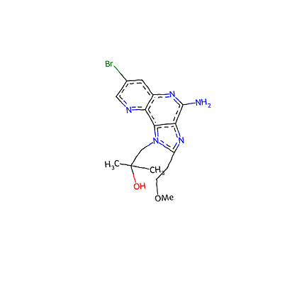 COCCc1nc2c(N)nc3cc(Br)cnc3c2n1CC(C)(C)O